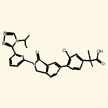 CC(C)n1cnnc1-c1cccc(N2Cc3ccc(-c4ccc(C(C)(C)C(=O)O)cc4Cl)cc3C2=O)n1